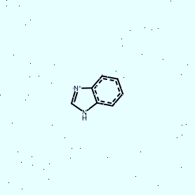 [c]1cccc2c1[N+]=CN2